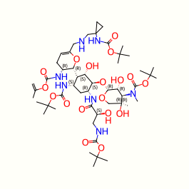 C=C(C)OC(=O)N[C@@H]1CC=C(CNCC2(NC(=O)OC(C)(C)C)CC2)O[C@@H]1C1[C@@H](NC(=O)OC(C)(C)C)C[C@@H](NC(=O)[C@@H](O)CNC(=O)OC(C)(C)C)[C@H](O[C@H]2OC[C@](C)(O)[C@H](N(C)C(=O)OC(C)(C)C)[C@H]2O)[C@H]1O